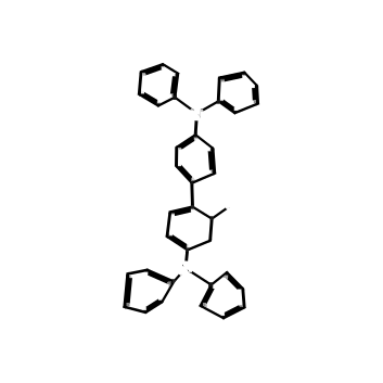 CC1CC(N(c2ccccc2)c2ccccc2)=CC=C1c1ccc(N(c2ccccc2)c2ccccc2)cc1